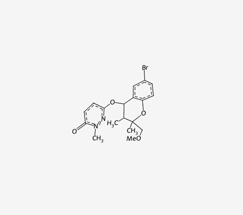 COCC1(C)Oc2ccc(Br)cc2C(Oc2ccc(=O)n(C)n2)C1C